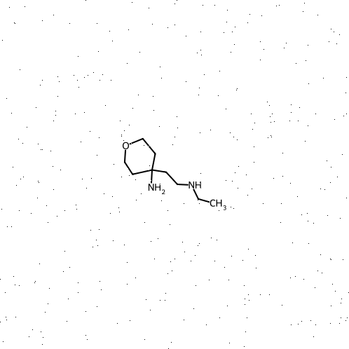 CCNCCC1(N)CCOCC1